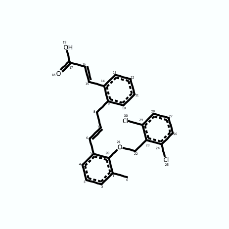 Cc1cccc(C=CCc2ccccc2C=CC(=O)O)c1OCc1c(Cl)cccc1Cl